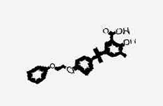 Cc1cc(C(C)(C)c2ccc(OCCOc3ccccc3)cc2)cc(C(=O)O)c1O